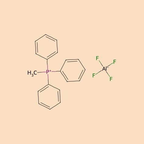 C[P+](c1ccccc1)(c1ccccc1)c1ccccc1.[F][Al-]([F])([F])[F]